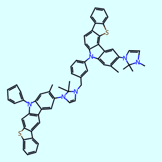 Cc1cc2c(cc1N1C=CN(C)C1(C)C)c1c3sc4ccccc4c3ccc1n2-c1cccc(CN2C=CN(c3cc4c5cc6c(cc5n(-c5ccccc5)c4cc3C)sc3ccccc36)C2(C)C)c1